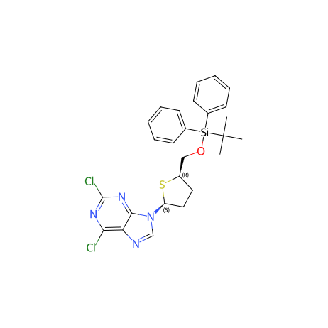 CC(C)(C)[Si](OC[C@H]1CC[C@@H](n2cnc3c(Cl)nc(Cl)nc32)S1)(c1ccccc1)c1ccccc1